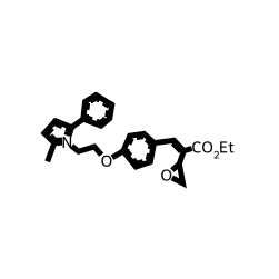 CCOC(=O)C(=Cc1ccc(OCCn2c(C)ccc2-c2ccccc2)cc1)C1CO1